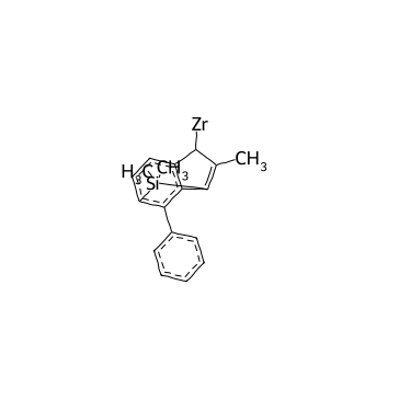 CC1=C2c3c(ccc(c3-c3ccccc3)[Si]2(C)C)[CH]1[Zr]